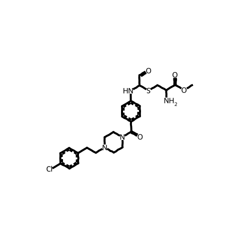 COC(=O)C(N)CSC(C=O)Nc1ccc(C(=O)N2CCN(CCc3ccc(Cl)cc3)CC2)cc1